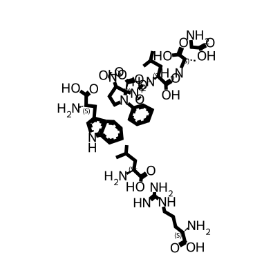 CC(C)C[C@H](N)C(=O)O.CC(C)C[C@H](N)C(=O)O.C[C@H](N)C(=O)O.N=C(N)NCCC[C@H](N)C(=O)O.NCC(=O)O.N[C@@H](Cc1c[nH]c2ccccc12)C(=O)O.O=C(O)[C@]1([N+](=O)[O-])C([N+](=O)[O-])CCN1c1ccccc1